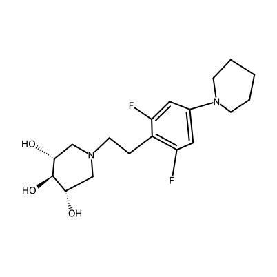 O[C@H]1[C@H](O)CN(CCc2c(F)cc(N3CCCCC3)cc2F)C[C@@H]1O